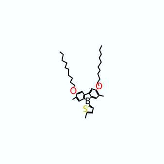 CCCCCCCCCCOc1cc2c(cc1C)B(c1ccc(C)s1)c1cc(C)c(OCCCCCCCCCC)cc1-2